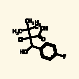 CC(C)(C)C(Cl)(C(=O)O)C(O)c1ccc(F)cc1